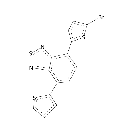 Brc1ccc(-c2ccc(-c3cccs3)c3nsnc23)s1